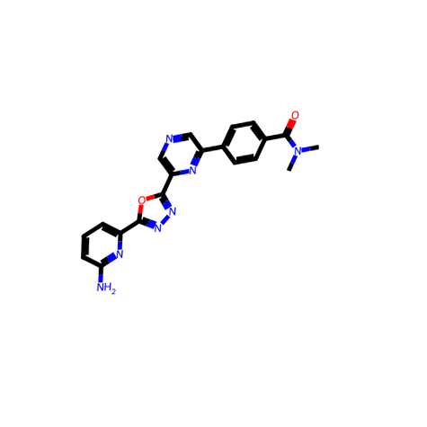 CN(C)C(=O)c1ccc(-c2cncc(-c3nnc(-c4cccc(N)n4)o3)n2)cc1